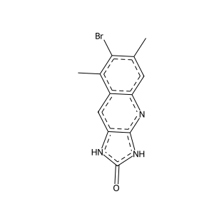 Cc1cc2nc3[nH]c(=O)[nH]c3cc2c(C)c1Br